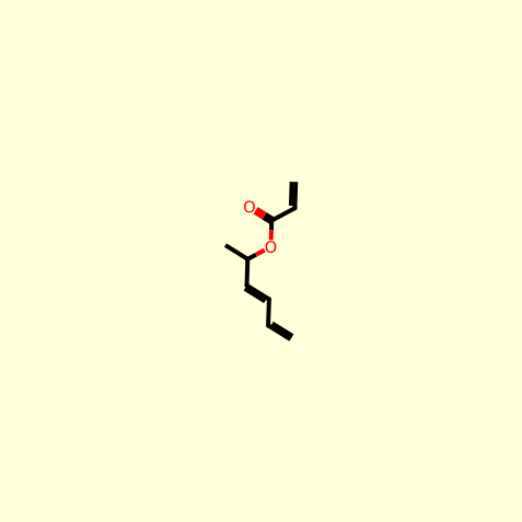 C=CC=CC(C)OC(=O)C=C